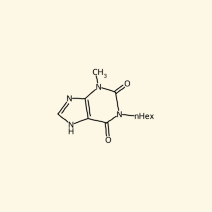 CCCCCCn1c(=O)c2[nH]cnc2n(C)c1=O